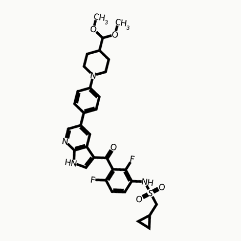 COC(OC)C1CCN(c2ccc(-c3cnc4[nH]cc(C(=O)c5c(F)ccc(NS(=O)(=O)CC6CC6)c5F)c4c3)cc2)CC1